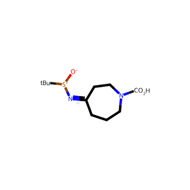 CC(C)(C)[S+]([O-])/N=C1/CCCN(C(=O)O)CC1